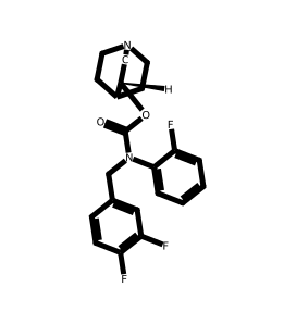 O=C(O[C@H]1CN2CCC1CC2)N(Cc1ccc(F)c(F)c1)c1ccccc1F